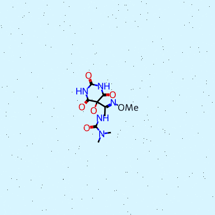 CON=C(C)C1(ONC(=O)N(C)C)C(=O)NC(=O)NC1=O